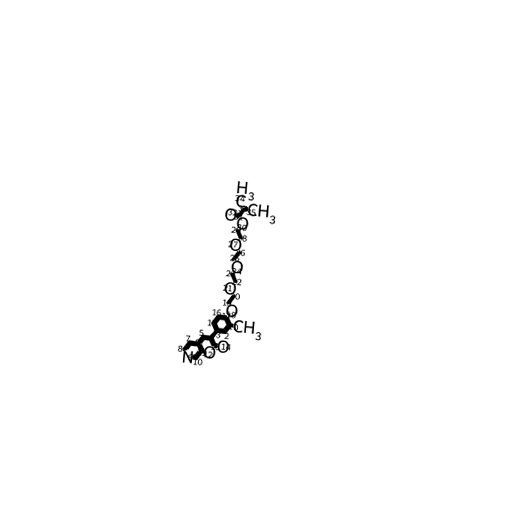 Cc1cc(-c2cc3ccncc3oc2=O)ccc1OCCOCCOCCOCCOC(=O)C(C)C